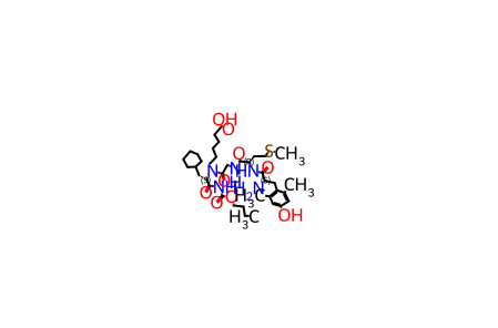 CCCCOC(=O)NC(=O)[C@H](CC1CCCCC1)N(CCCCCC(=O)O)C(=O)CNC(=O)[C@@H](CCSC)NC(=O)[C@@H](N)Cc1c(C)cc(O)cc1C